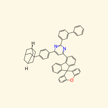 c1ccc(-c2cccc(-c3nc(-c4ccc(C56CC7C[C@H](C5)C[C@H](C7)C6)cc4)cc(-c4cccc5c4-c4ccccc4C54c5ccccc5Oc5ccccc54)n3)c2)cc1